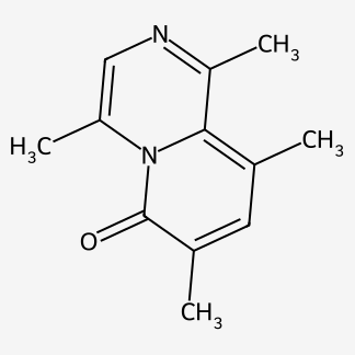 Cc1cc(C)c2c(C)ncc(C)n2c1=O